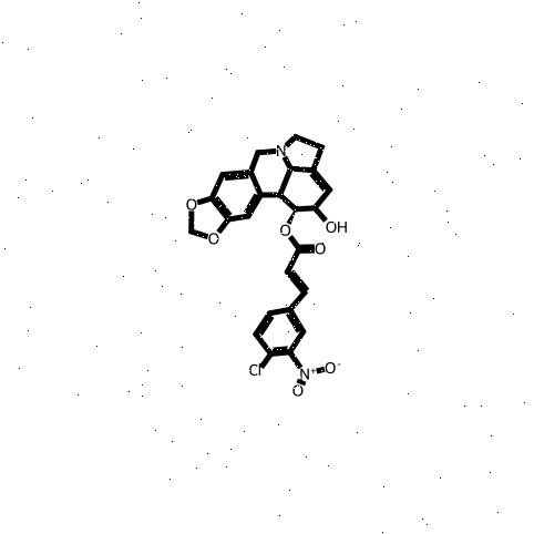 O=C(/C=C/c1ccc(Cl)c([N+](=O)[O-])c1)O[C@@H]1C(O)C=C2CCN3Cc4cc5c(cc4C1C23)OCO5